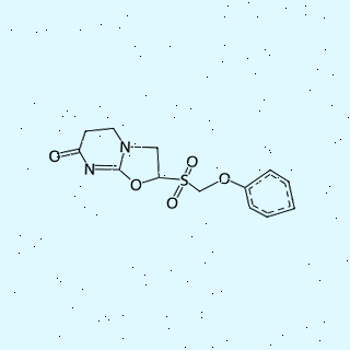 O=C1CCN2CC(S(=O)(=O)COc3ccccc3)OC2=N1